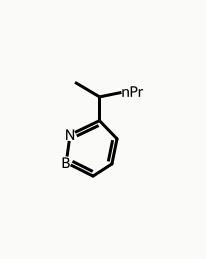 CCCC(C)c1cccbn1